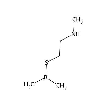 CNCCSB(C)C